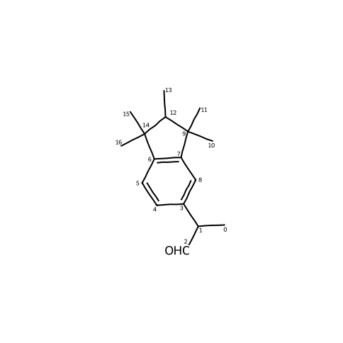 CC(C=O)c1ccc2c(c1)C(C)(C)C(C)C2(C)C